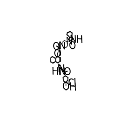 O=C(N/N=C/c1ccc(OCC(=O)N2CCC(n3c(=O)[nH]c4ccccc43)CC2)c2ccccc12)c1ccc(O)c(Cl)c1